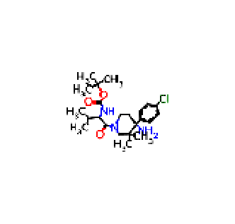 CC(C)C(NC(=O)OC(C)(C)C)C(=O)N1CCC(N)(c2ccc(Cl)cc2)C(C)(C)C1